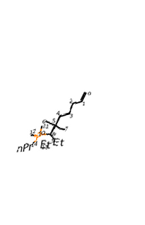 C=CCCCC(C)(C)C(CC)P(C)(C)(CC)CCC